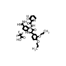 C=CCOc1ccc(C(Nc2ccc(C(=N)N)cc2)C(=O)NNC(=O)c2ncccc2C)cc1OCC=C.O=C(O)C(F)(F)F